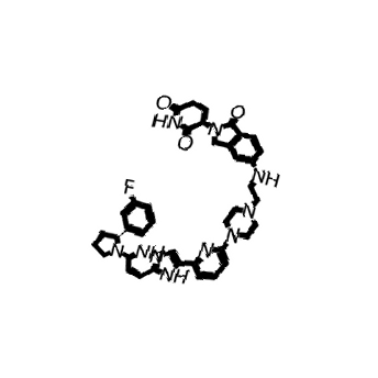 N=C(/C=C\c1ncc(-c2cccc(N3CCN(CCNc4ccc5c(c4)CN(C4CCC(=O)NC4=O)C5=O)CC3)n2)[nH]1)N1CCC[C@@H]1c1cccc(F)c1